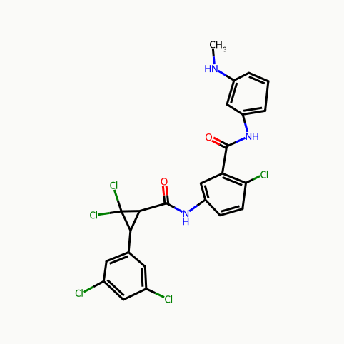 CNc1cccc(NC(=O)c2cc(NC(=O)C3C(c4cc(Cl)cc(Cl)c4)C3(Cl)Cl)ccc2Cl)c1